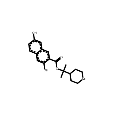 CC(C)(OC(=O)c1cc2cc(O)ccc2cc1O)C1CCNCC1